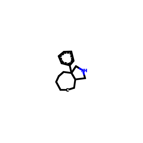 c1ccc(C23CCCCCCC2CNC3)cc1